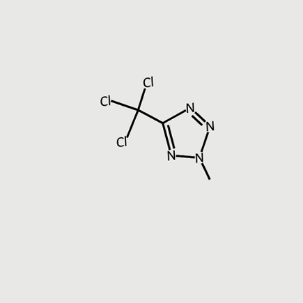 Cn1nnc(C(Cl)(Cl)Cl)n1